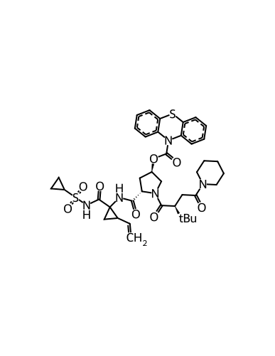 C=CC1CC1(NC(=O)[C@@H]1C[C@@H](OC(=O)N2c3ccccc3Sc3ccccc32)CN1C(=O)[C@@H](CC(=O)N1CCCCC1)C(C)(C)C)C(=O)NS(=O)(=O)C1CC1